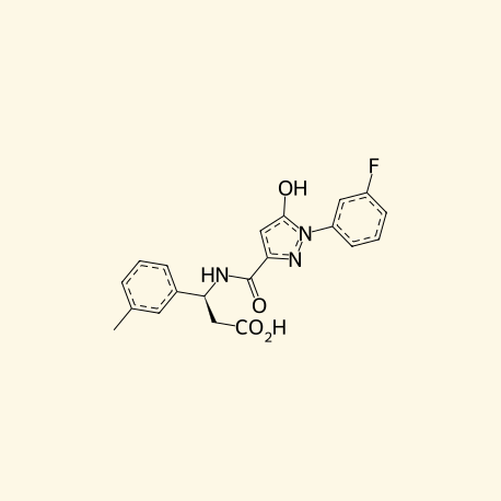 Cc1cccc([C@H](CC(=O)O)NC(=O)c2cc(O)n(-c3cccc(F)c3)n2)c1